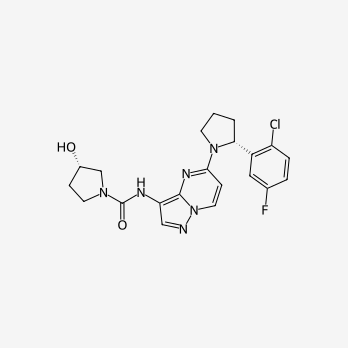 O=C(Nc1cnn2ccc(N3CCC[C@@H]3c3cc(F)ccc3Cl)nc12)N1CC[C@H](O)C1